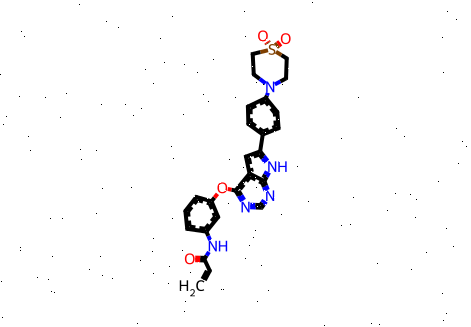 C=CC(=O)Nc1cccc(Oc2ncnc3[nH]c(-c4ccc(N5CCS(=O)(=O)CC5)cc4)cc23)c1